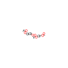 C=C(C)C(=O)OC1CC2CC1C1C3CC(OCC(=C)C(=O)OC4CC5CC4CC5COC(C)=O)C(C3)C21